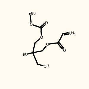 C=CC(=O)OCC(CC)(CO)COC(=O)OCCCC